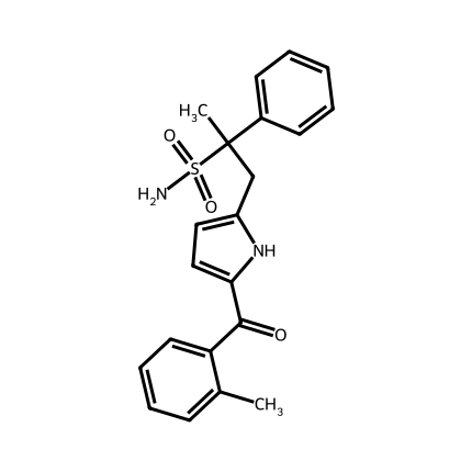 Cc1ccccc1C(=O)c1ccc(CC(C)(c2ccccc2)S(N)(=O)=O)[nH]1